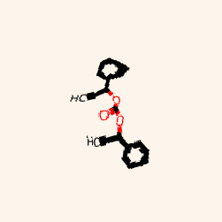 C#CC(OC(=O)OC(C#C)c1ccccc1)c1ccccc1